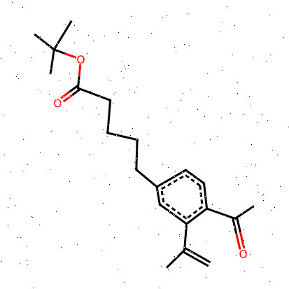 C=C(C)c1cc(CCCCC(=O)OC(C)(C)C)ccc1C(C)=O